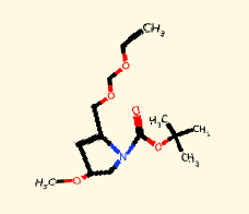 CCOCOCC1CC(OC)CN1C(=O)OC(C)(C)C